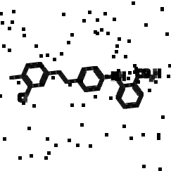 Cc1ccc(CCc2ccc(Nc3ccccc3C(=O)O)cc2)cc1Cl